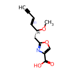 C#C/C=C/[C@@H](Cc1nc(C(=O)O)co1)OC